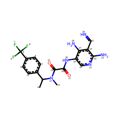 CC(c1ccc(C(F)(F)F)cc1)N(C)C(=O)C(=O)Nc1cnc(N)c(C=N)c1N